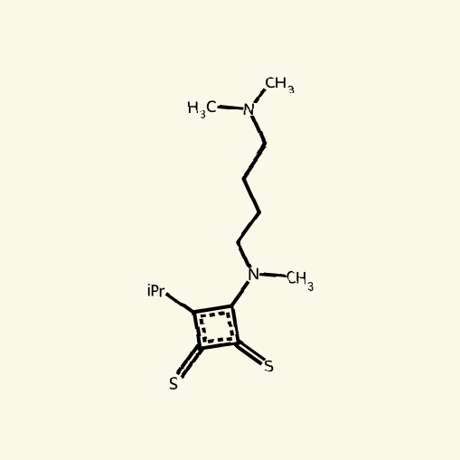 CC(C)c1c(N(C)CCCCN(C)C)c(=S)c1=S